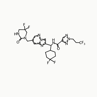 O=C(NC(c1cn2ncc(CN3CC(F)(F)CNC3=O)cc2n1)C1CCC(F)(F)CC1)c1cnn(CCC(F)(F)F)n1